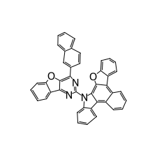 c1ccc2cc(-c3nc(-n4c5ccccc5c5c6ccccc6c6c7ccccc7oc6c54)nc4c3oc3ccccc34)ccc2c1